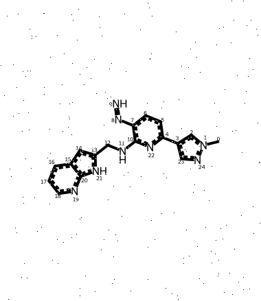 Cn1cc(-c2ccc(N=N)c(NCc3cc4cccnc4[nH]3)n2)cn1